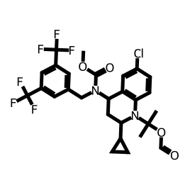 COC(=O)N(Cc1cc(C(F)(F)F)cc(C(F)(F)F)c1)C1CC(C2CC2)N(C(C)(C)OC=O)c2ccc(Cl)cc21